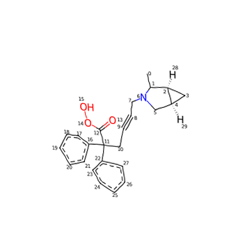 CC1[C@H]2C[C@H]2CN1CC#CCC(C(=O)OO)(c1ccccc1)c1ccccc1